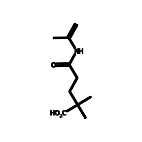 C=C(C)NC(=O)CCC(C)(C)C(=O)O